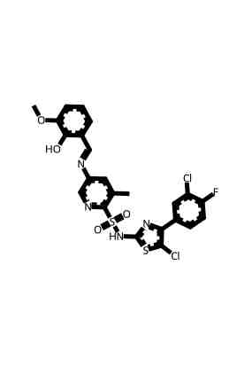 COc1cccc(/C=N/c2cnc(S(=O)(=O)Nc3nc(-c4ccc(F)c(Cl)c4)c(Cl)s3)c(C)c2)c1O